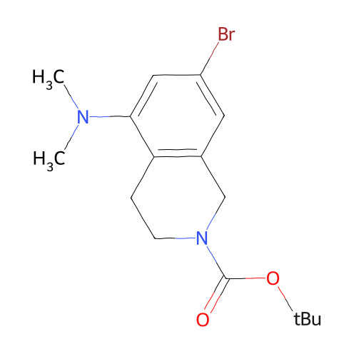 CN(C)c1cc(Br)cc2c1CCN(C(=O)OC(C)(C)C)C2